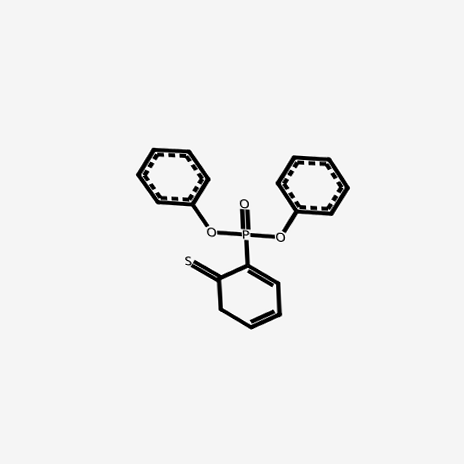 O=P(Oc1ccccc1)(Oc1ccccc1)C1=CC=CCC1=S